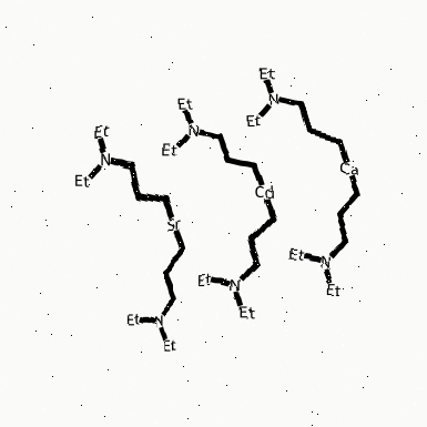 CCN(CC)CC[CH2][Ca][CH2]CCN(CC)CC.CCN(CC)CC[CH2][Cd][CH2]CCN(CC)CC.CCN(CC)CC[CH2][Sr][CH2]CCN(CC)CC